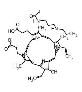 C=CC1=C(C)c2cc3[nH]c(cc4nc(cc5[nH]c(cc1n2)c(C)c5CCC(=O)O)C(CCC(=O)O)=C4C)c(C)c3C=C.CCCNCCCNC(=O)I